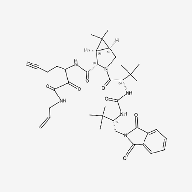 C#CCCC(NC(=O)[C@@H]1[C@@H]2[C@H](CN1C(=O)[C@@H](NC(=O)N[C@H](CN1C(=O)c3ccccc3C1=O)C(C)(C)C)C(C)(C)C)C2(C)C)C(=O)C(=O)NCC=C